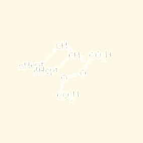 CCCCCCCC.CCCCCCCC.O=C(O)OOC(=O)O